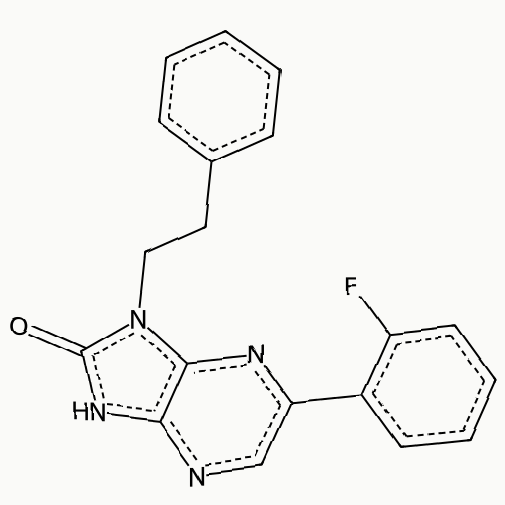 O=c1[nH]c2ncc(-c3ccccc3F)nc2n1CCc1ccccc1